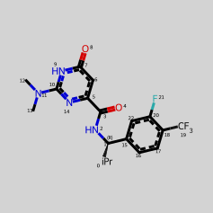 CC(C)[C@@H](NC(=O)c1cc(=O)[nH]c(N(C)C)n1)c1ccc(C(F)(F)F)c(F)c1